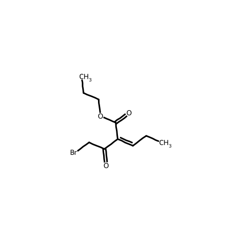 CC/C=C(/C(=O)CBr)C(=O)OCCC